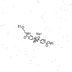 CCOCCCNC(=O)c1ccc(S(=O)(=O)[N-]C(=O)c2ccc(C(=O)OC(C)C)nc2)cc1.[Na+]